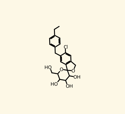 CCc1ccc(Cc2cc3c(cc2Cl)COC32OC(CO)C(O)C(O)C2O)cc1